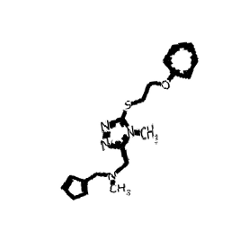 CN(CC1=CCC=C1)Cc1nnc(SCCOc2ccccc2)n1C